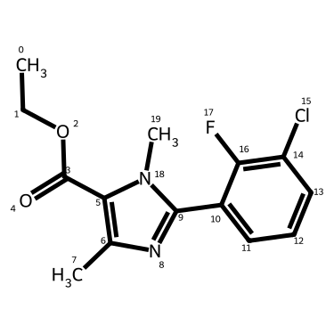 CCOC(=O)c1c(C)nc(-c2cccc(Cl)c2F)n1C